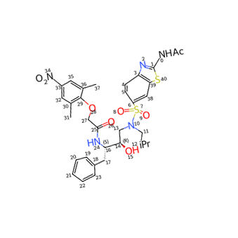 CC(=O)Nc1nc2ccc(S(=O)(=O)N(CC(C)C)C[C@@H](O)[C@H](Cc3ccccc3)NC(=O)COc3c(C)cc([N+](=O)[O-])cc3C)cc2s1